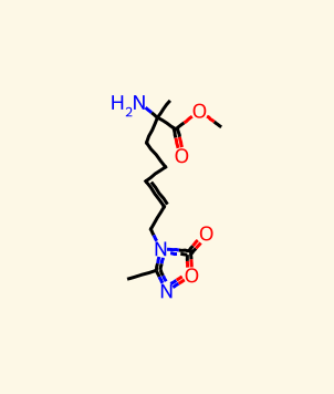 COC(=O)C(C)(N)CCC=CCn1c(C)noc1=O